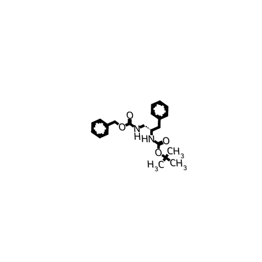 CC(C)(C)OC(=O)N[C@H](CNC(=O)OCc1ccccc1)Cc1ccccc1